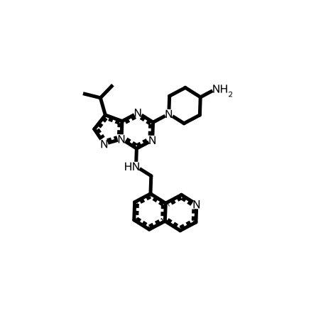 CC(C)c1cnn2c(NCc3cccc4ccncc34)nc(N3CCC(N)CC3)nc12